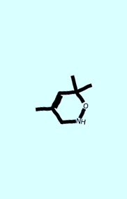 CC1=CC(C)(C)ON[C]1